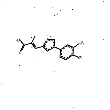 C/C(=C\c1cc(-c2ccc(C#N)c(C(F)(F)F)c2)cs1)C(N)=O